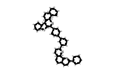 c1ccc(-c2ccc3ccc4ccc(-c5cccc(-c6ccc(-c7nc8c9ccccc9ccc8c8c7sc7ccccc78)cc6)c5)nc4c3n2)cc1